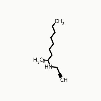 C#CCN[C@@H](C)CCCCCCC